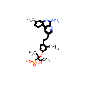 CCC(CC)(CP(=O)(O)O)Oc1ccc(CCc2cnc3c(N)nc4cc(C)ccc4c3c2)c(C)c1